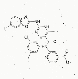 COC(=O)c1ccnc(NC(=O)C2=C(C)NC(Nc3nc4ccc(F)cc4o3)=N[C@H]2c2ccc(C)cc2Cl)c1